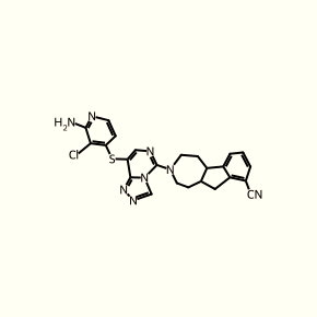 N#Cc1cccc2c1CC1CCN(c3ncc(Sc4ccnc(N)c4Cl)c4nncn34)CCC21